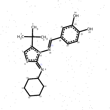 CC(C)(C)c1cs/c(=N\C2CCCCC2)n1/N=C/c1ccc(O)c(O)c1